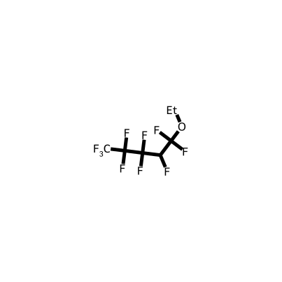 [CH2]COC(F)(F)C(F)C(F)(F)C(F)(F)C(F)(F)F